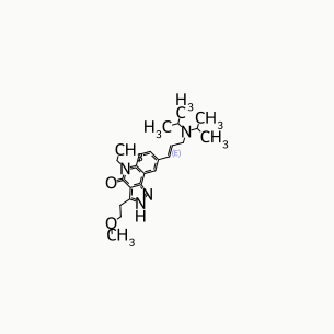 CCn1c(=O)c2c(CCOC)[nH]nc2c2cc(/C=C/CN(C(C)C)C(C)C)ccc21